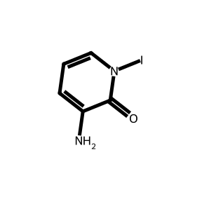 Nc1cccn(I)c1=O